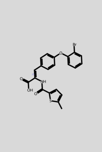 Cc1ccc(C(=O)N/C(=C\c2ccc(Oc3ccccc3Br)cc2)C(=O)O)s1